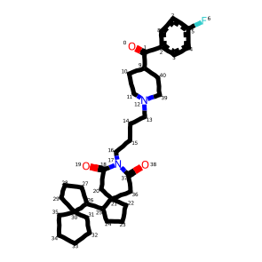 O=C(c1ccc(F)cc1)C1CCN(CCCCN2C(=O)CC3(CCCC3C3CCCC34CCCCC4)CC2=O)CC1